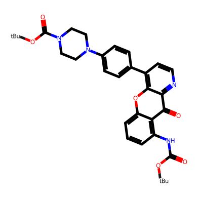 CC(C)(C)OC(=O)Nc1cccc2oc3c(-c4ccc(N5CCN(C(=O)OC(C)(C)C)CC5)cc4)ccnc3c(=O)c12